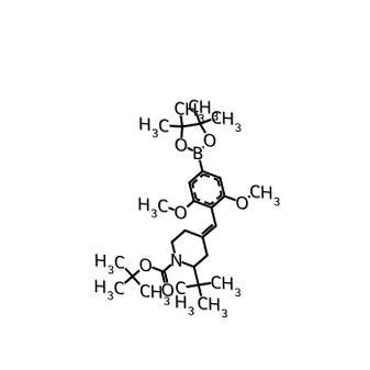 COc1cc(B2OC(C)(C)C(C)(C)O2)cc(OC)c1C=C1CCN(C(=O)OC(C)(C)C)C(C(C)(C)C)C1